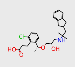 C[C@@H](OC[C@@H](O)CNC(C)(C)CC1Cc2ccccc2C1)c1cccc(Cl)c1CCC(=O)O